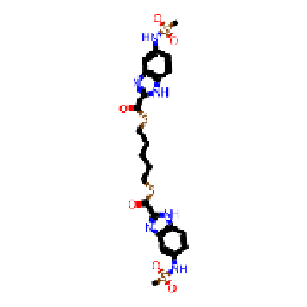 CS(=O)(=O)Nc1ccc2[nH]c(C(=O)SCCCCCSC(=O)c3nc4cc(NS(C)(=O)=O)ccc4[nH]3)nc2c1